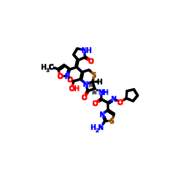 Cc1cc(C(=C2CCNC2=O)C2=C(C(=O)O)N3C(=O)[C@@H](NC(=O)C(=NOC4CCCC4)c4csc(N)n4)[C@H]3SC2)no1